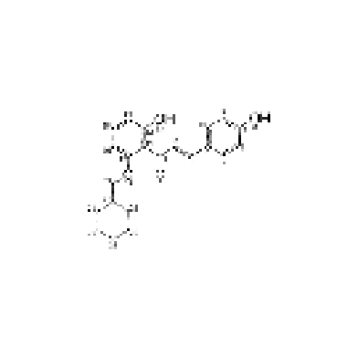 O=C(/C=C/c1ccc(O)cc1)c1c(O)cccc1OCC1CCCCC1